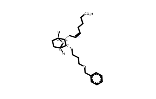 O=C(O)CCC/C=C\C[C@@H]1[C@H](CCCCOCc2ccccc2)[C@@H]2CC[C@H]1O2